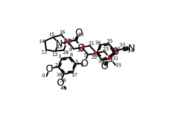 COc1ccc(OC(CCCN2C3CCC2CN(C(=O)OCCCS(C)(=O)=O)C3)c2ccc(C#N)cc2)cc1OC